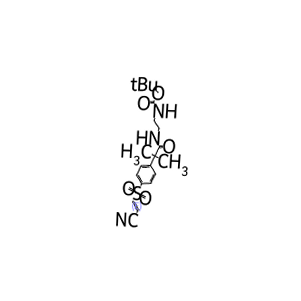 CC(C)(C)OC(=O)NCCNC(=O)C(C)(C)c1ccc(S(=O)(=O)/C=C/C#N)cc1